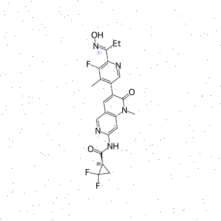 CC/C(=N\O)c1ncc(-c2cc3cnc(NC(=O)[C@H]4CC4(F)F)cc3n(C)c2=O)c(C)c1F